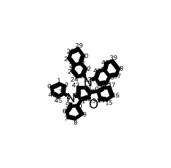 c1ccc(-n2c3ccccc3c3c4oc5ccccc5c4c(N(c4ccc5ccccc5c4)c4ccc5ccccc5c4)cc32)cc1